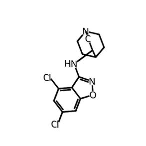 Clc1cc(Cl)c2c(NC3CN4CCC3CC4)noc2c1